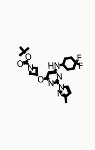 Cc1ccn(-c2nc(NC3CCC(F)(F)CC3)cc(OC3CN(C(=O)OC(C)(C)C)C3)n2)n1